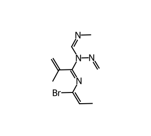 C=NN(/C=N\C)/C(=N/C(Br)=C\C)C(=C)C